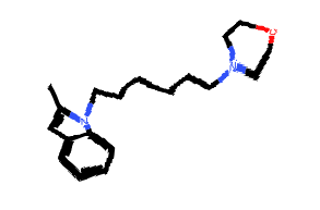 Cc1cc2ccccc2n1CCCCCCN1CCOCC1